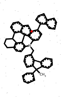 CC1(c2ccccc2)c2ccccc2-c2c(CN(c3ccc(-c4cccc5ccccc45)cc3)c3ccccc3-c3cccc4cccc(C5CCCCC5)c34)cccc21